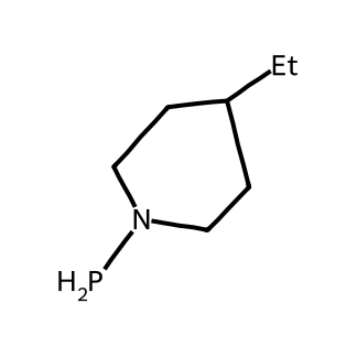 CCC1CCN(P)CC1